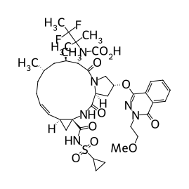 COCCn1nc(O[C@@H]2C[C@H]3C(=O)N[C@]4(C(=O)NS(=O)(=O)C5CC5)C[C@H]4C=CCC[C@H](C)C[C@@H](C)[C@H](N(C(=O)O)C(C)(C)C(C)(F)F)C(=O)N3C2)c2ccccc2c1=O